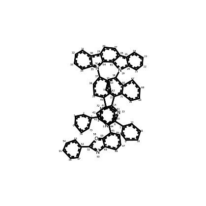 c1ccc(-c2nc(-c3ccccc3)nc(-c3ccc(-n4c5ccccc5c5ccc6c7ccccc7n(-c7ccc(-c8ccc(-c9cccc%10nc(-c%11ccccc%11)oc9%10)cc8)cc7)c6c54)c4ccccc34)n2)cc1